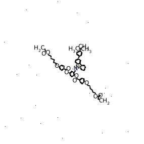 C=CC(=O)OCCCCCCOc1ccc(C(=O)Oc2ccc(OC(=O)c3ccc(OCCCCCCOC(=O)C=C)cc3)c(/C=N/n3c4ccccc4c4cc(-c5ccc(C(C)(C)C)cc5)ccc43)c2)cc1